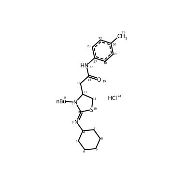 CCCCN1C(=NC2CCCCC2)SCC1CC(=O)Nc1ccc(C)cc1.Cl